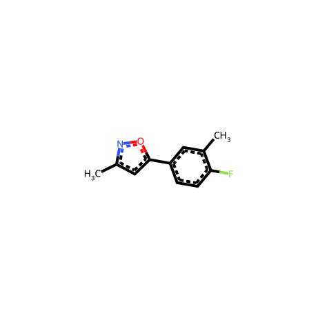 Cc1cc(-c2ccc(F)c(C)c2)on1